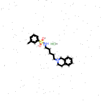 Cc1cccc(S(=O)(=O)NCCCCCN2CCc3ccccc3C2)c1.Cl